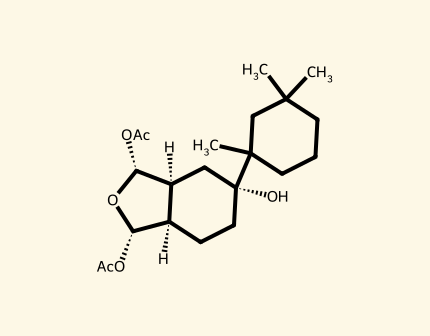 CC(=O)O[C@H]1O[C@@H](OC(C)=O)[C@@H]2CC[C@](O)(C3(C)CCCC(C)(C)C3)C[C@H]12